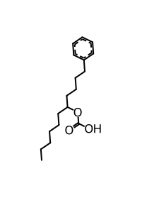 CCCCCCC(CCCCc1ccccc1)OC(=O)O